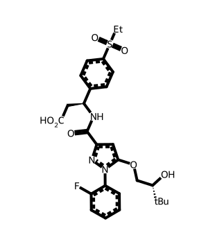 CCS(=O)(=O)c1ccc([C@H](CC(=O)O)NC(=O)c2cc(OC[C@H](O)C(C)(C)C)n(-c3ccccc3F)n2)cc1